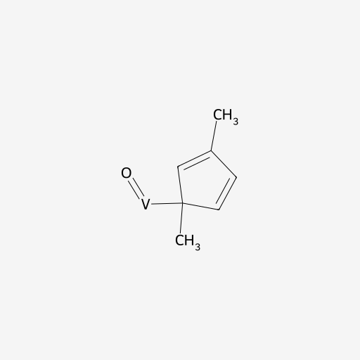 CC1=C[C](C)([V]=[O])C=C1